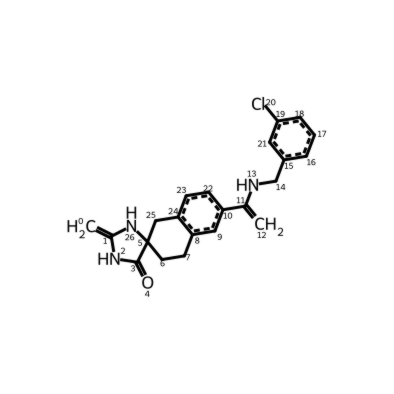 C=C1NC(=O)C2(CCc3cc(C(=C)NCc4cccc(Cl)c4)ccc3C2)N1